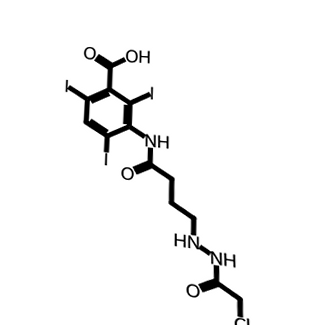 O=C(CCl)NNCCCC(=O)Nc1c(I)cc(I)c(C(=O)O)c1I